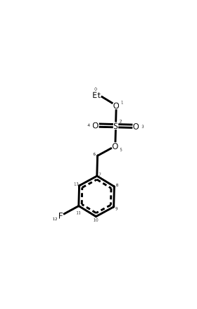 CCOS(=O)(=O)OCc1cccc(F)c1